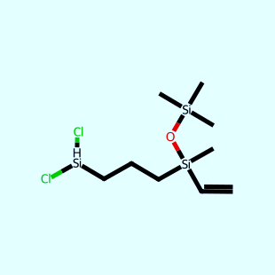 C=C[Si](C)(CCC[SiH](Cl)Cl)O[Si](C)(C)C